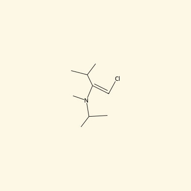 CC(C)/C(=C\Cl)N(C)C(C)C